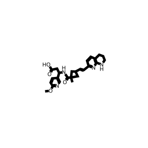 COc1ccc(C(CC(=O)O)NC(=O)C2(C)CC(C=Cc3ccc4c(n3)NCCC4)C2)cn1